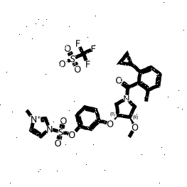 CO[C@@H]1CN(C(=O)c2c(C)cccc2C2CC2)C[C@H]1Oc1cccc(OS(=O)(=O)n2cc[n+](C)c2)c1.O=S(=O)([O-])C(F)(F)F